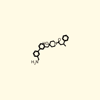 CC(CC(=O)N1CCC(O)(Cc2cccc(-c3cccc(CN)c3)c2)CC1)c1ccccc1